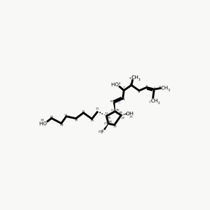 CC(C)=CCC(C)C(O)/C=C/[C@@H]1[C@@H](CCCCCCCO)[C@H](F)C[C@H]1O